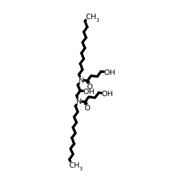 CCCCCCCCCCCCN(CC(O)CN(CCCCCCCCCCCC)C(=O)CCCO)C(=O)CCCO